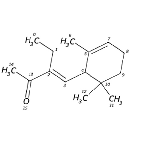 CCC(=CC1C(C)=CCCC1(C)C)C(C)=O